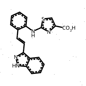 O=C(O)c1csc(Nc2ccccc2C=Cc2n[nH]c3ccccc23)n1